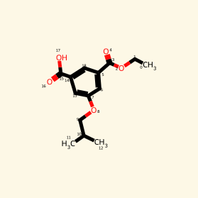 CCOC(=O)c1cc(OCC(C)C)cc(C(=O)O)c1